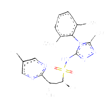 CCCCc1nnc(NS(=O)(=O)[C@@H](C)[C@H](C)c2ncc(C)cn2)n1-c1c(OC)cccc1OC